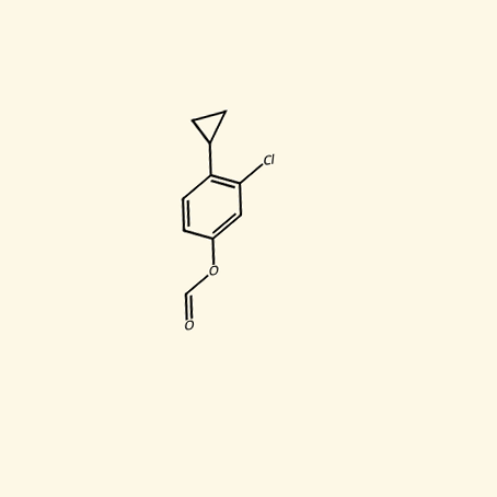 O=COc1ccc(C2CC2)c(Cl)c1